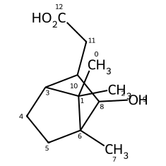 CC1(C)C2CCC1(C)C(O)C2CC(=O)O